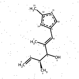 C=C[C@H](C)C(O)/C(C)=C/c1csc(C)n1